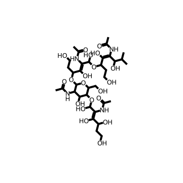 CC(=O)N/C(=C(\O)C(CCO)OC(O)/C(NC(C)=O)=C(\O)C(CCO)OC1OC(CO)C(OC(O)/C(NC(C)=O)=C(\O)C(O)CCO)C(O)C1NC(C)=O)C(O)C(C)C